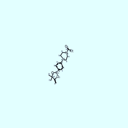 C=C1OB(c2ccc(N3CCN(C(=O)CC)CC3)cc2)OC1(C)C